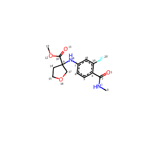 CNC(=O)c1ccc(NC2(C(=O)OC)CCOC2)cc1F